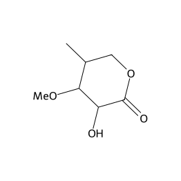 COC1C(C)COC(=O)C1O